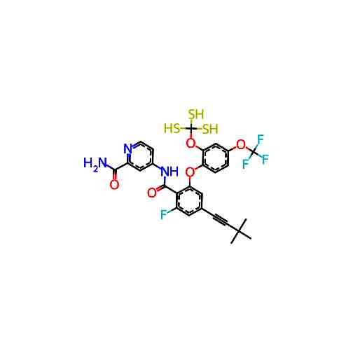 CC(C)(C)C#Cc1cc(F)c(C(=O)Nc2ccnc(C(N)=O)c2)c(Oc2ccc(OC(F)(F)F)cc2OC(S)(S)S)c1